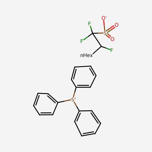 CCCCCCC(F)C(F)(F)S(=O)(=O)[O-].c1ccc([S+](c2ccccc2)c2ccccc2)cc1